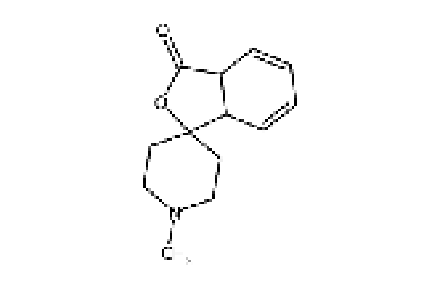 CN1CCC2(CC1)OC(=O)C1C=CC=CC12